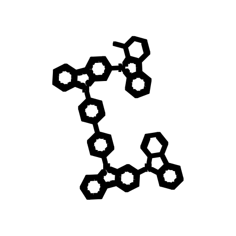 CC1CC=Cc2c1n(-c1ccc3c4ccccc4n(-c4ccc(-c5ccc(-n6c7ccccc7c7ccc(N8c9ccccc9C9C=CC=CC98)cc76)cc5)cc4)c3c1)c1ccccc21